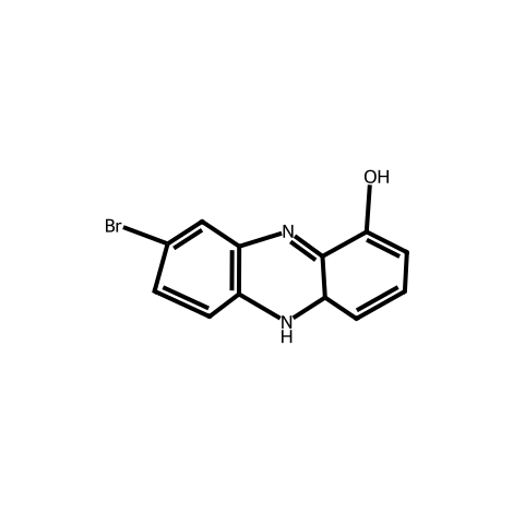 OC1=CC=CC2Nc3ccc(Br)cc3N=C12